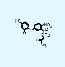 CCP(=O)(OCC(N)=O)c1cc(Oc2ccc(C(F)(F)F)cc2Cl)ccc1[N+](=O)[O-]